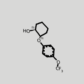 O[C@H]1CCCC[C@@H]1Oc1ccc(OC(F)(F)F)cc1